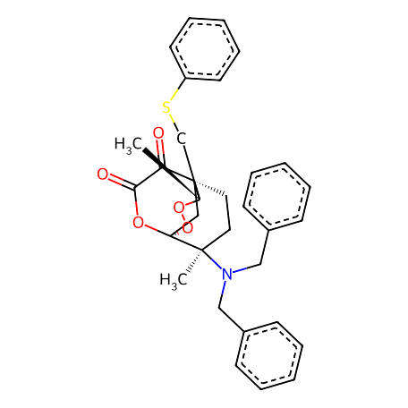 C[C@]1(CSc2ccccc2)OO[C@]23C[C@@]1(CC[C@@]2(C)N(Cc1ccccc1)Cc1ccccc1)C(=O)C(=O)O3